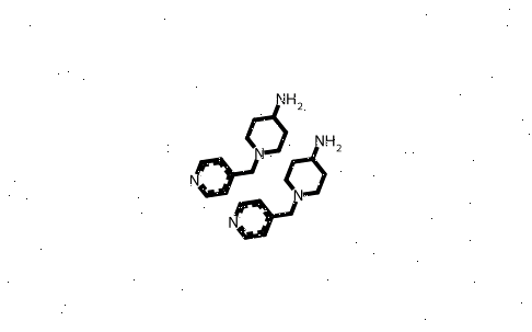 NC1CCN(Cc2ccncc2)CC1.NC1CCN(Cc2ccncc2)CC1